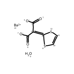 O.O=C([O-])C(C(=O)[O-])=C1SC=CS1.[Ba+2]